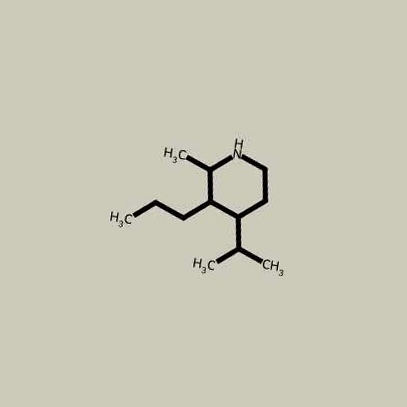 CCCC1C(C)NCCC1C(C)C